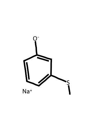 CSc1cccc([O-])c1.[Na+]